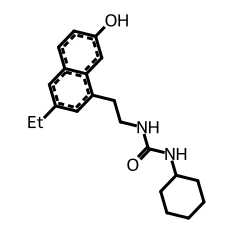 CCc1cc(CCNC(=O)NC2CCCCC2)c2cc(O)ccc2c1